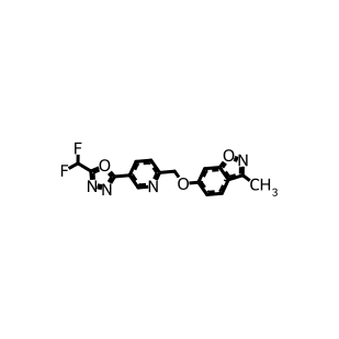 Cc1noc2cc(OCc3ccc(-c4nnc(C(F)F)o4)cn3)ccc12